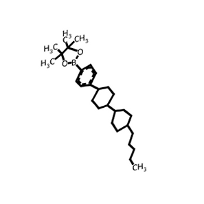 CCCCCC1CCC(C2CCC(c3ccc(B4OC(C)(C)C(C)(C)O4)cc3)CC2)CC1